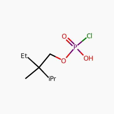 CCC(C)(COP(=O)(O)Cl)C(C)C